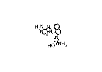 Nc1ncnc2c1ncn2Cc1c(N2CCC(N)(CO)C2)ccc2ccccc12